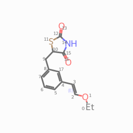 CCO/C=C/c1cccc(CC2SC(=O)NC2=O)c1